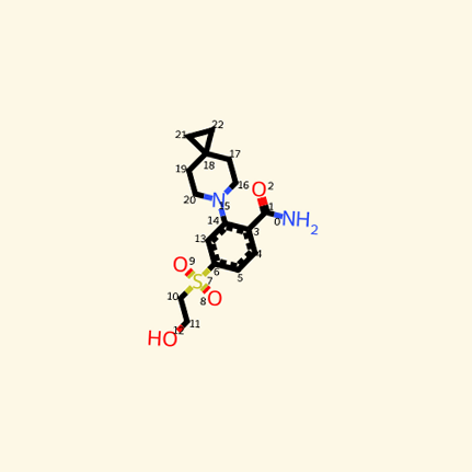 NC(=O)c1ccc(S(=O)(=O)CCO)cc1N1CCC2(CC1)CC2